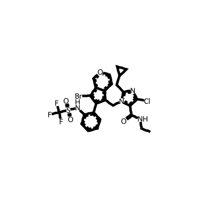 CCNC(=O)c1c(Cl)nc(CC2CC2)n1Cc1c2ccocc-2c(Br)c1-c1ccccc1NS(=O)(=O)C(F)(F)F